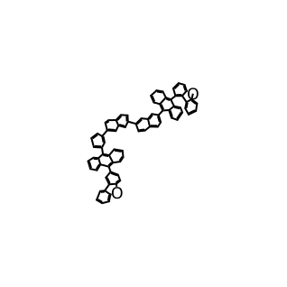 c1cc(-c2ccc3ccc(-c4ccc5ccc(-c6c7ccccc7c(-c7cccc8oc9ccccc9c78)c7ccccc67)cc5c4)cc3c2)cc(-c2c3ccccc3c(-c3ccc4oc5ccccc5c4c3)c3ccccc23)c1